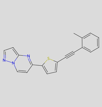 Cc1ccccc1C#Cc1ccc(-c2ccn3nccc3n2)s1